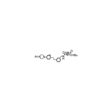 CC(=O)N1CCN(c2ccc(CCc3cccc(CNC(=O)NNC(=O)OC(C)(C)C)c3)nc2)CC1